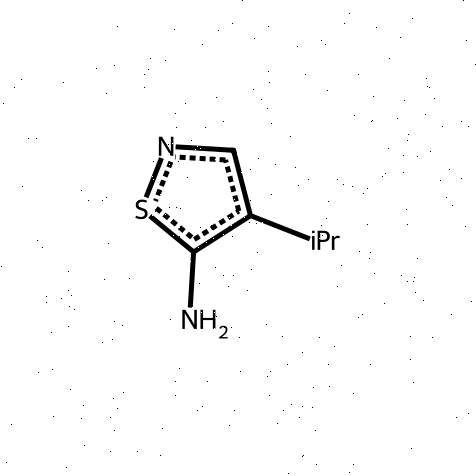 CC(C)c1cnsc1N